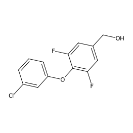 OCc1cc(F)c(Oc2cccc(Cl)c2)c(F)c1